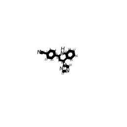 N#Cc1ccc(C2CC(n3cncn3)c3ccccc3N2)cc1